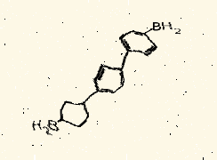 Bc1ccc(-c2ccc(C3CCC(B)CC3)cc2)cc1